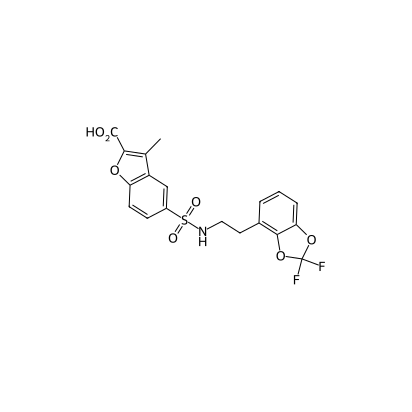 Cc1c(C(=O)O)oc2ccc(S(=O)(=O)NCCc3cccc4c3OC(F)(F)O4)cc12